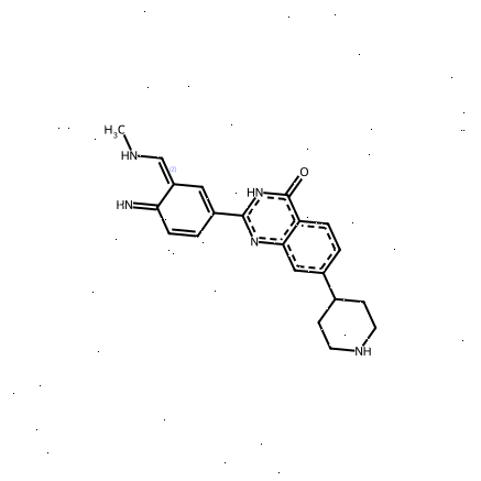 CN/C=C1/C=C(c2nc3cc(C4CCNCC4)ccc3c(=O)[nH]2)C=CC1=N